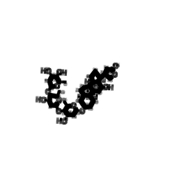 C[C@H]1O[C@@H](O[C@@H]2[C@@H](O)C[C@H](O[C@@H]3[C@@H](O)C[C@@H](O[C@H]4CC[C@@]5(C)[C@H](CC[C@@H]6[C@@H]5C[C@@H](O)[C@]5(C)C(C7=CC(=O)OC7)CC[C@]65O)C4)O[C@@H]3C)O[C@@H]2C)C[C@H](O)[C@H]1O